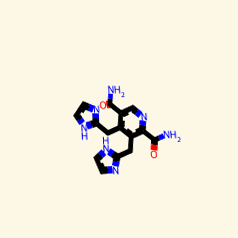 NC(=O)c1cnc(C(N)=O)c(Cc2ncc[nH]2)c1Cc1ncc[nH]1